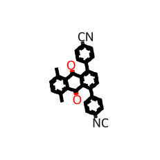 [C-]#[N+]c1ccc(-c2ccc(-c3ccc(C#N)cc3)c3c2C(=O)c2c(C)ccc(C)c2C3=O)cc1